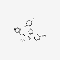 CN(CCn1cncn1)C(=O)N1CC(c2cc(F)ccc2F)=CC1c1cccc(O)c1